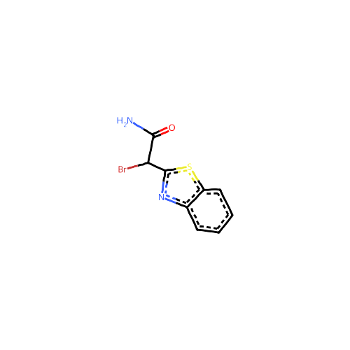 NC(=O)C(Br)c1nc2ccccc2s1